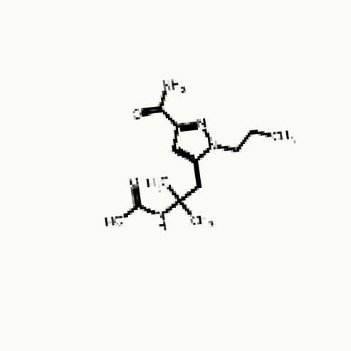 CCCn1nc(C(N)=O)cc1CC(C)(C)NC(=O)O